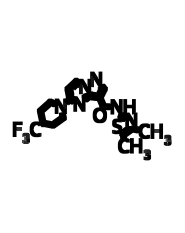 Cc1nc(NC(=O)c2cnn3ccc(N4CCC(C(F)(F)F)CC4)nc23)sc1C